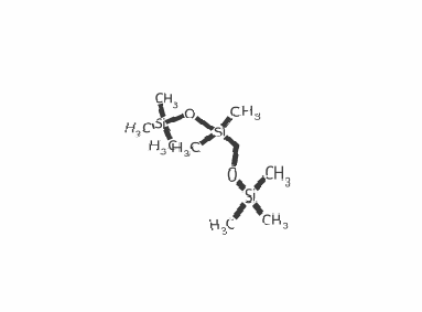 C[Si](C)(C)OC[Si](C)(C)O[Si](C)(C)C